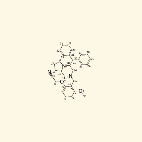 COc1cccc(OCC#N)c1CN1CC2CCCN2C(C(c2ccccc2)c2ccccc2)C1